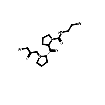 CC(C)CCNC(=O)N1CCCC1C(=O)[C@@H]1CCCN1CC(=O)CC(C)C